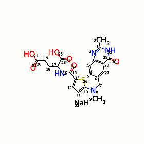 Cc1nc2ccc(CN(C)c3ccc(C(=O)NC(CCC(=O)O)C(=O)O)s3)cc2c(=O)[nH]1.[NaH]